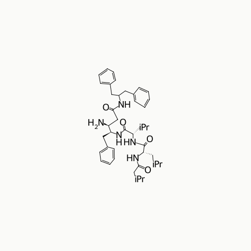 CC(C)CC(=O)N[C@@H](CC(C)C)C(=O)N[C@H](C(=O)N[C@@H](Cc1ccccc1)[C@@H](N)CC(=O)NC(Cc1ccccc1)Cc1ccccc1)C(C)C